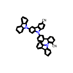 N#Cc1ccc2c(c1)c1cc(-n3c4ccccc4c4ccccc43)ccc1n2-c1cccc(-c2cccc(C#N)c2-n2c3ccccc3c3ccccc32)c1